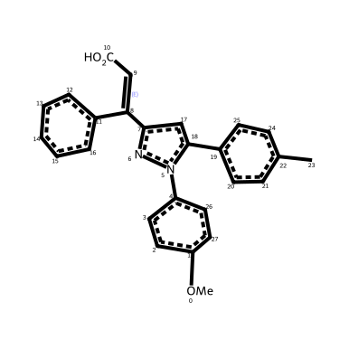 COc1ccc(-n2nc(/C(=C/C(=O)O)c3ccccc3)cc2-c2ccc(C)cc2)cc1